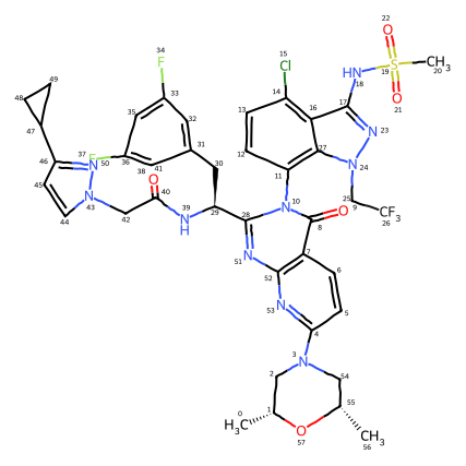 C[C@@H]1CN(c2ccc3c(=O)n(-c4ccc(Cl)c5c(NS(C)(=O)=O)nn(CC(F)(F)F)c45)c([C@H](Cc4cc(F)cc(F)c4)NC(=O)Cn4ccc(C5CC5)n4)nc3n2)C[C@H](C)O1